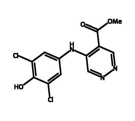 COC(=O)c1cnncc1Nc1cc(Cl)c(O)c(Cl)c1